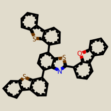 c1ccc2c(c1)oc1c(-c3nc4c(-c5cccc6c5sc5ccccc56)ccc(-c5cccc6c5sc5ccccc56)c4s3)cccc12